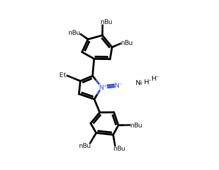 CCCCc1cc(C2=CC(CC)=C(c3cc(CCCC)c(CCCC)c(CCCC)c3)[N+]2=[N-])cc(CCCC)c1CCCC.[H-].[H-].[Ni]